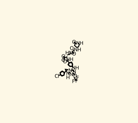 COC(=O)[C@H](CCNC(=O)C(=O)NC1CCNC(=O)C1)NC(=O)c1ccc(Nc2nc(NC3(c4ccc(Cl)cc4)CC3)nc(OCC(F)(F)F)n2)cc1